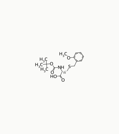 COc1ccccc1CSC[C@@H](NC(=O)OC(C)(C)C)C(=O)O